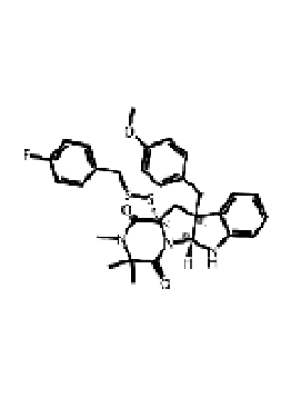 COc1ccc(C[C@]23C[C@]4(SSCc5ccc(F)cc5)C(=O)N(C)C(C)(C)C(=O)N4[C@H]2Nc2ccccc23)cc1